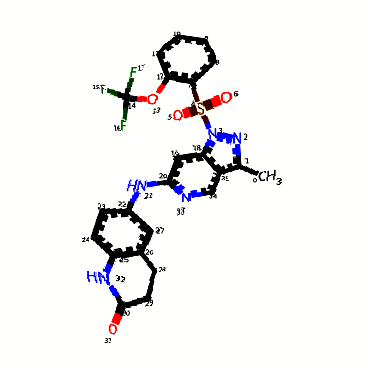 Cc1nn(S(=O)(=O)c2ccccc2OC(F)(F)F)c2cc(Nc3ccc4c(c3)CCC(=O)N4)ncc12